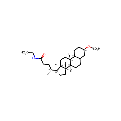 C[C@H](CCC(=O)NCC(=O)O)[C@H]1CC[C@H]2[C@@H]3CCC4C[C@H](OS(=O)(=O)O)CC[C@]4(C)[C@H]3CC[C@]12C